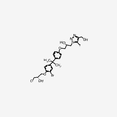 CC(C)(c1ccc(OC[C@@H](O)Cn2nnc(CO)c2I)cc1)c1ccc(OC[C@H](O)CCl)c(Br)c1